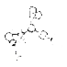 CN(C)/C=N/c1sc2c(c1C#N)[C@@](C)(c1nc(-c3cc(N4CCN(C(=O)OC(C)(C)C)CC4)nc(OC4CCCC45CCCN5C)n3)no1)CCC2